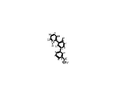 Cc1ccc(-c2cccc(CC(C)C)c2)cc1-c1cccc[n+]1C